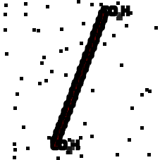 O=C(O)CCOCCOCCOCCOCCOCCOCCOCCOCCOCCOCCOCCOCCOCCOCCOCCOCCOCCOCCOCCOCCOCCOCCOCCOCCOCCOCCOCCOCCOCCOCCOCCOCCOCCOCCOCCOCCOCCC(=O)O